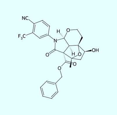 C[C@@]12C[C@H](O)[C@]3(CCO[C@H]4[C@@H]3[C@]1(C(=O)OCc1ccccc1)C(=O)N4c1ccc(C#N)c(C(F)(F)F)c1)O2